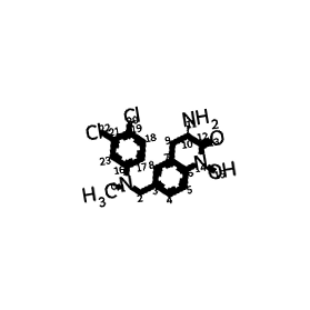 CN(Cc1ccc2c(c1)C[C@H](N)C(=O)N2O)c1ccc(Cl)c(Cl)c1